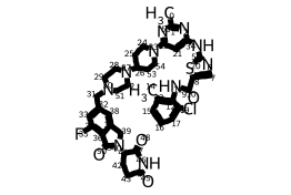 Cc1nc(Nc2ncc(C(=O)Nc3c(C)cccc3Cl)s2)cc(N2CCC(N3CCN(Cc4cc(F)c5c(c4)CN(C4CCC(=O)NC4=O)C5=O)CC3)CC2)n1